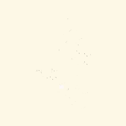 C/C(=C(/OCc1cn(-c2ccc(F)cc2F)nn1)c1ccc(Cl)cc1Cl)n1cncn1